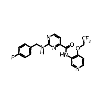 O=C(Nc1cnccc1OCC(F)(F)F)c1ccnc(NCc2ccc(F)cc2)n1